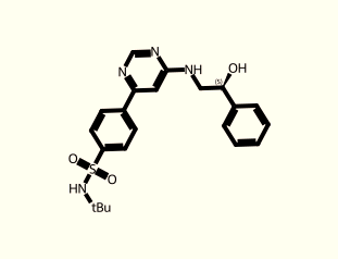 CC(C)(C)NS(=O)(=O)c1ccc(-c2cc(NC[C@@H](O)c3ccccc3)ncn2)cc1